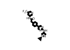 O=C(Cc1ccc(-c2cnc(Nc3cnn(C4CC4)c3)nc2)cc1)Nc1cncc(C(F)(F)F)c1